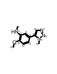 CNc1cc(-c2cnnn2C)ccc1OC